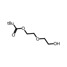 CC(C)(C)C(=O)OCCOCCO